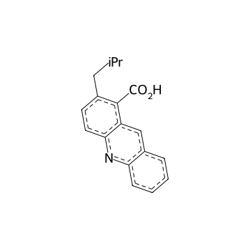 CC(C)Cc1ccc2nc3ccccc3cc2c1C(=O)O